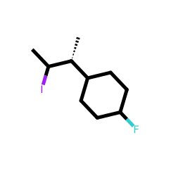 CC(I)[C@H](C)C1CCC(F)CC1